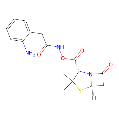 CC1(C)S[C@@H]2CC(=O)N2[C@H]1C(=O)ONC(=O)Cc1ccccc1N